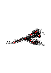 CSCC(=O)NCCOCCOCCOCCOCCOCCOCCC(=O)N[C@H](C(=O)N[C@H](C)C(=O)Nc1ccccc1CCC(=O)O[C@H]1CC[C@H](NC(=O)C[C@@H]2C[C@@]3(CO3)[C@H](O)[C@@H](/C=C/C(C)=C/C[C@@H]3O[C@H](C)[C@H](NC(=O)/C=C\[C@H](C)O)C[C@@H]3C)O2)CC1)C(C)C